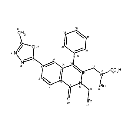 Cc1nnc(-c2ccc3c(=O)n(CC(C)C)c(CN(C(=O)O)C(C)(C)C)c(-c4ccccc4)c3c2)o1